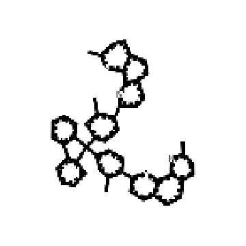 Cc1ccc2ccc3ccc(-c4ccc(C5(c6ccc(-c7ccc8ccc9ccc(C)nc9c8n7)c(C)c6)c6ccccc6-c6ccccc65)cc4C)nc3c2n1